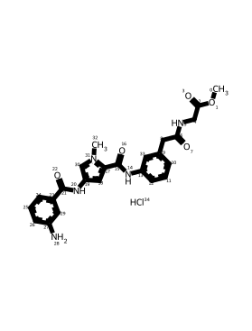 COC(=O)CNC(=O)Cc1cccc(NC(=O)c2cc(NC(=O)c3cccc(N)c3)cn2C)c1.Cl